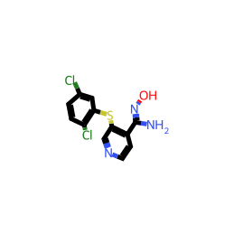 NC(=NO)c1ccncc1Sc1cc(Cl)ccc1Cl